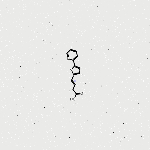 O=C(O)C/C=C/c1ccc(-c2ccccn2)s1